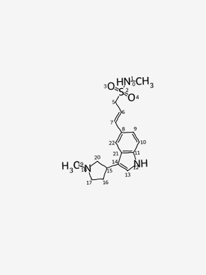 CNS(=O)(=O)CC=Cc1ccc2[nH]cc(C3CCN(C)C3)c2c1